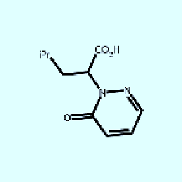 CC(C)CC(C(=O)O)n1ncccc1=O